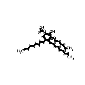 CCCCCCCCCc1cc(OC(=O)O)c(O)c(OCCCCCC)c1CCCCCCCCC